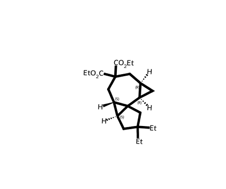 CCOC(=O)C1(C(=O)OCC)C[C@H]2C[C@H]2C23CC(CC)(CC)C[C@H]2[C@@H]3C1